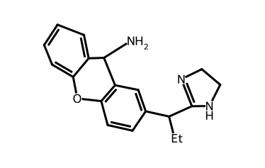 CCC(C1=NCCN1)c1ccc2c(c1)C(N)c1ccccc1O2